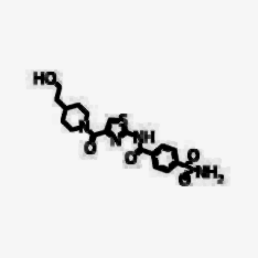 NS(=O)(=O)c1ccc(C(=O)Nc2nc(C(=O)N3CCC(CCO)CC3)cs2)cc1